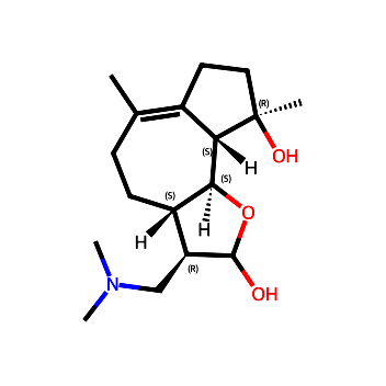 CC1=C2CC[C@@](C)(O)[C@@H]2[C@H]2OC(O)[C@@H](CN(C)C)[C@@H]2CC1